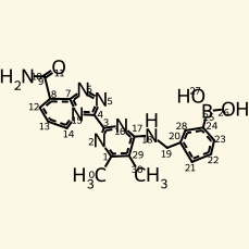 Cc1nc(-c2nnc3c(C(N)=O)cccn23)nc(NCc2cccc(B(O)O)c2)c1C